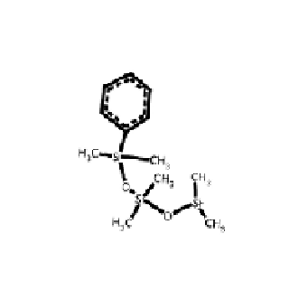 C[Si](C)O[Si](C)(C)O[Si](C)(C)c1ccccc1